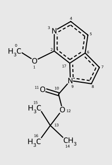 COc1nccc2ccn(C(=O)OC(C)(C)C)c12